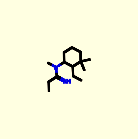 CCC(=N)N(C)C1CCCC(C)(C)C1CC